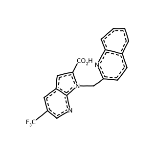 O=C(O)c1cc2cc(C(F)(F)F)cnc2n1Cc1ccc2ccccc2n1